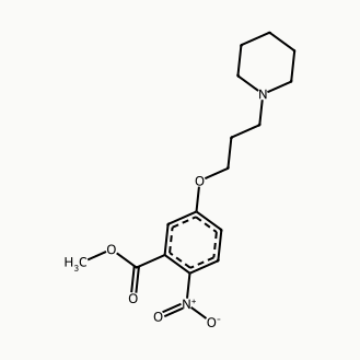 COC(=O)c1cc(OCCCN2CCCCC2)ccc1[N+](=O)[O-]